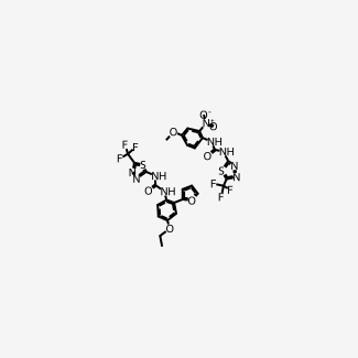 CCOc1ccc(NC(=O)Nc2nnc(C(F)(F)F)s2)c(-c2ccco2)c1.COc1ccc(NC(=O)Nc2nnc(C(F)(F)F)s2)c([N+](=O)[O-])c1